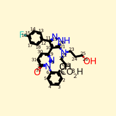 Cc1ccccc1-n1nc(-c2c(-c3ccc(F)cc3)n[nH]c2N(CCCO)CCC(=O)O)ccc1=O